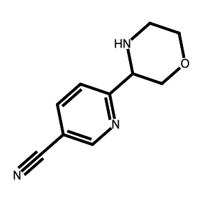 N#Cc1ccc(C2COCCN2)nc1